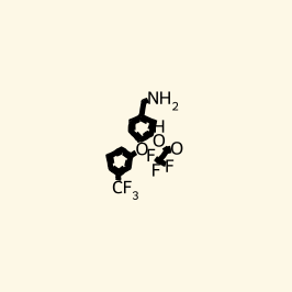 NCc1ccc(Oc2cccc(C(F)(F)F)c2)cc1.O=C(O)C(F)(F)F